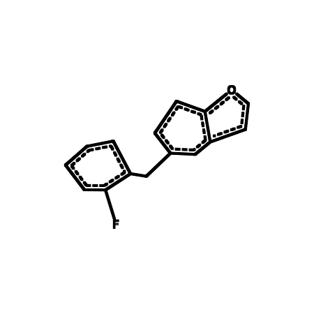 Fc1ccccc1Cc1ccc2occc2c1